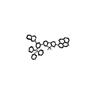 CC1(C)c2cc(-c3cc(-c4ccc5ccccc5c4)cc([Si](c4ccccc4)(c4ccccc4)c4ccccc4)c3)ccc2-c2ccc(-c3ccc4ccc5cccc6ccc3c4c56)cc21